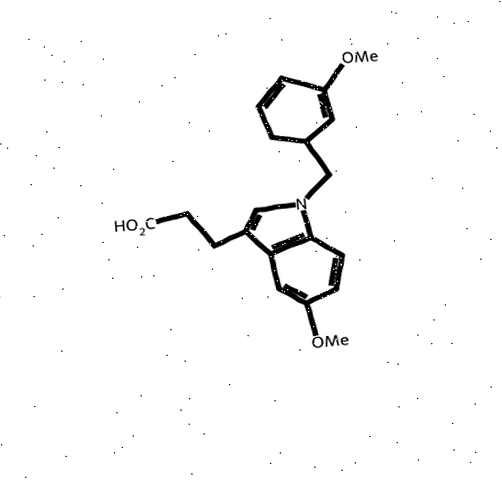 COC1=CC(Cn2cc(CCC(=O)O)c3cc(OC)ccc32)CC=C1